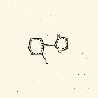 Clc1ccccc1-c1nc[c]o1